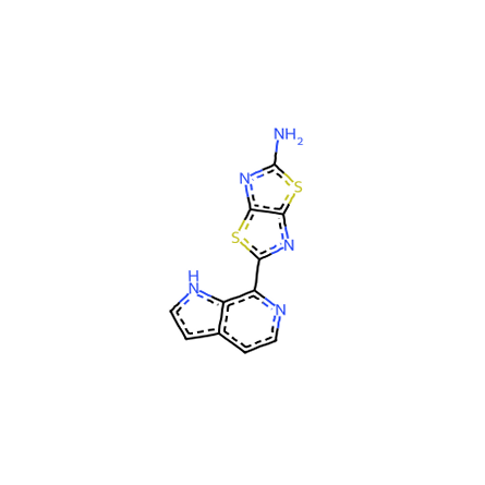 Nc1nc2sc(-c3nccc4cc[nH]c34)nc2s1